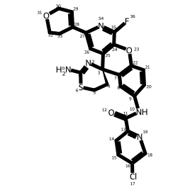 NC1=N[C@@]2(CCS1)c1cc(NC(=O)c3ccc(Cl)cn3)ccc1Oc1c2cc(C2=CCOCC2)nc1F